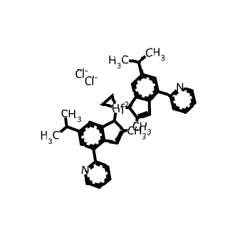 CC1=Cc2c(-c3ccccn3)cc(C(C)C)cc2[CH]1[Hf+2]1([CH]2C(C)=Cc3c(-c4ccccn4)cc(C(C)C)cc32)[CH2][CH2]1.[Cl-].[Cl-]